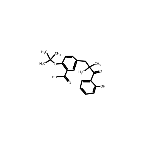 CC(C)(C)Oc1ccc(CC(C)(C)C(=O)c2ccccc2O)cc1C(=O)O